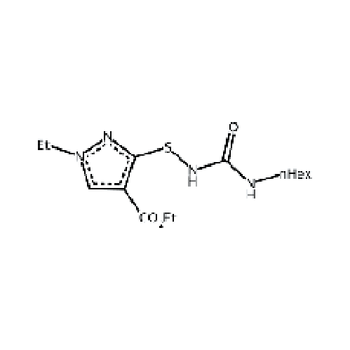 CCCCCCNC(=O)NSc1nn(CC)cc1C(=O)OCC